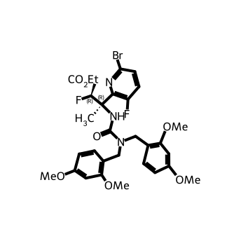 CCOC(=O)[C@H](F)[C@](C)(NC(=O)N(Cc1ccc(OC)cc1OC)Cc1ccc(OC)cc1OC)c1nc(Br)ccc1F